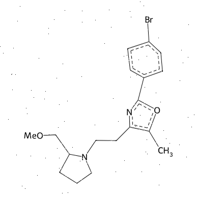 COCC1CCCN1CCc1nc(-c2ccc(Br)cc2)oc1C